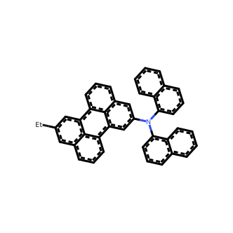 CCc1cc2cccc3c4cc(N(c5cccc6ccccc56)c5cccc6ccccc56)cc5cccc(c(c1)c23)c54